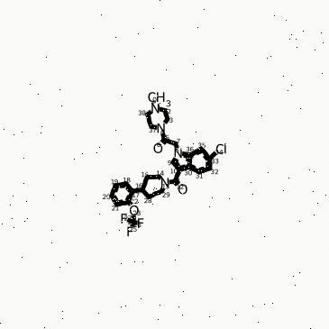 CN1CCN(C(=O)Cn2cc(C(=O)N3CCC(c4ccccc4OC(F)(F)F)CC3)c3ccc(Cl)cc32)CC1